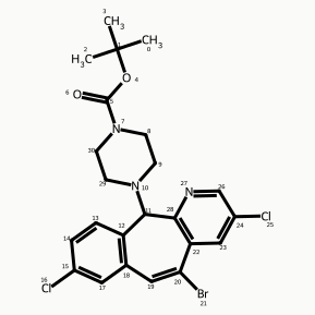 CC(C)(C)OC(=O)N1CCN(C2c3ccc(Cl)cc3C=C(Br)c3cc(Cl)cnc32)CC1